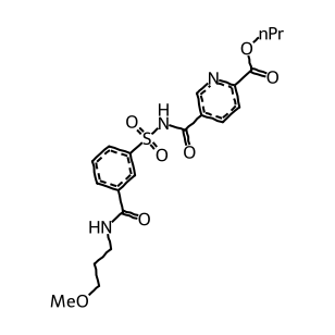 CCCOC(=O)c1ccc(C(=O)NS(=O)(=O)c2cccc(C(=O)NCCCOC)c2)cn1